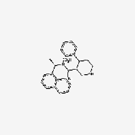 C[C@H](c1cccc2ccccc12)N(C(=O)O)C(C1CNCCC1c1ccccc1)C(C)(C)C